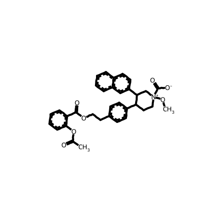 CO[N+]1(C(=O)[O-])CCC(c2ccc(CCOC(=O)c3ccccc3OC(C)=O)cc2)C(c2ccc3ccccc3c2)C1